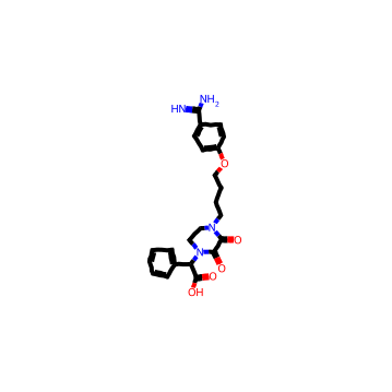 N=C(N)c1ccc(OCCCCN2CCN(C(C(=O)O)c3ccccc3)C(=O)C2=O)cc1